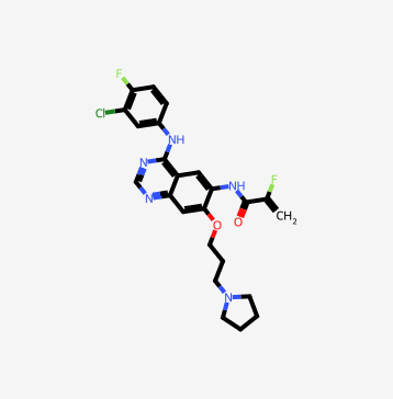 C=C(F)C(=O)Nc1cc2c(Nc3ccc(F)c(Cl)c3)ncnc2cc1OCCCN1CCCC1